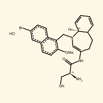 COc1ccc2cc(Br)ccc2c1CN1C=C(NC(=O)[C@@H](N)CO)CCC2C=CC=C[C@@H]21.Cl